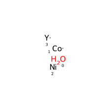 O.[Co].[Ni].[Y]